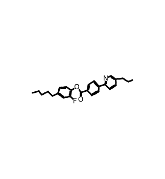 CCCCCc1ccc(OC(=O)c2ccc(-c3ccc(CCC)cn3)cc2)c(F)c1